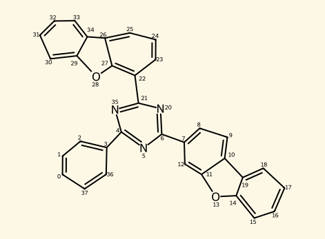 c1ccc(-c2nc(-c3ccc4c(c3)oc3ccccc34)nc(-c3cccc4c3oc3ccccc34)n2)cc1